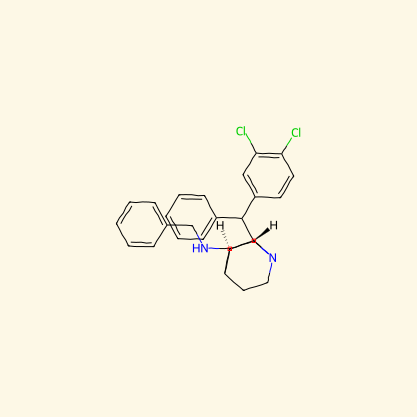 Clc1ccc(C(c2ccccc2)[C@H]2[C@H](NCc3ccccc3)C3CCN2CC3)cc1Cl